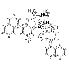 CCC1=Cc2c(-c3cccc4ccccc34)ccc(C)c2[CH]1[Zr]([CH3])([CH3])(=[SiH2])[CH]1C(C(C)C)=Cc2c(-c3cccc4ccccc34)cccc21.Cl.Cl